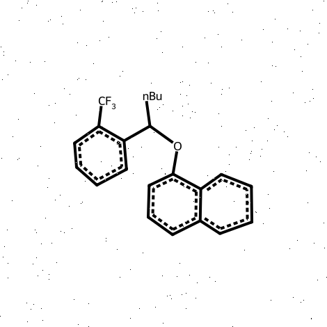 C[CH]CCC(Oc1cccc2ccccc12)c1ccccc1C(F)(F)F